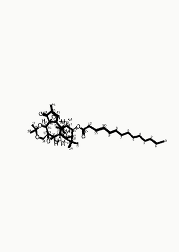 CCCCCCCCCCCCCC(=O)O[C@@H]1[C@@H](C)[C@@]2(O)[C@H]([C@@H]3C(C)(C)[C@]13OC(C)=O)[C@@H]1O[C@@]13COC(C)(C)O[C@H]3[C@]1(O)C(=O)C(C)=C[C@H]12